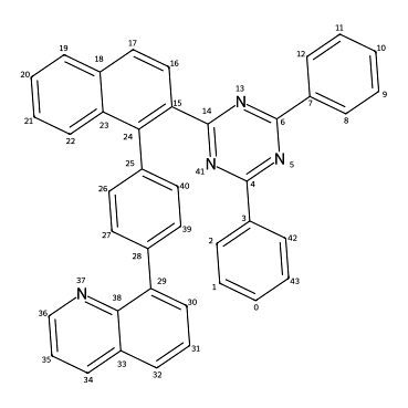 c1ccc(-c2nc(-c3ccccc3)nc(-c3ccc4ccccc4c3-c3ccc(-c4cccc5cccnc45)cc3)n2)cc1